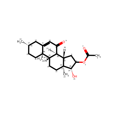 CC(=O)OC1C[C@H]2[C@@H]3C(=O)C=C4C[C@@H](C)CC[C@]4(C)[C@H]3CC[C@]2(C)[C@H]1O